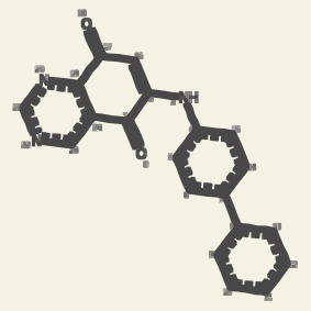 O=C1C(Nc2ccc(-c3ccccc3)cc2)=CC(=O)c2ncncc21